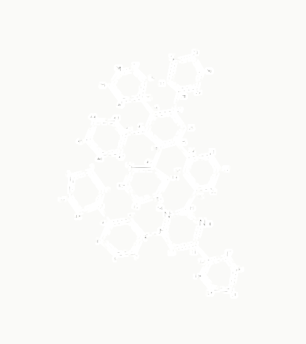 c1ccc(-c2cccc(-c3cc(-c4ccccc4)nc(-c4cccc(-c5cc(-c6ccccc6)c(-c6ccccc6)c(-c6ccccc6)c5-c5ccccc5)c4)n3)c2)cc1